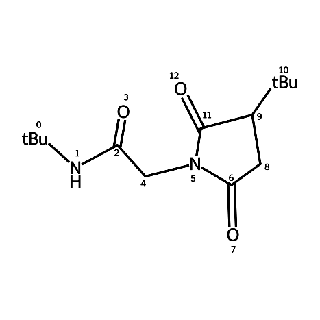 CC(C)(C)NC(=O)CN1C(=O)CC(C(C)(C)C)C1=O